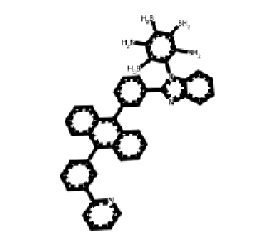 Bc1c(B)c(B)c(-n2c(-c3cccc(-c4c5ccccc5c(-c5cccc(-c6ccccn6)c5)c5ccccc45)c3)nc3ccccc32)c(B)c1B